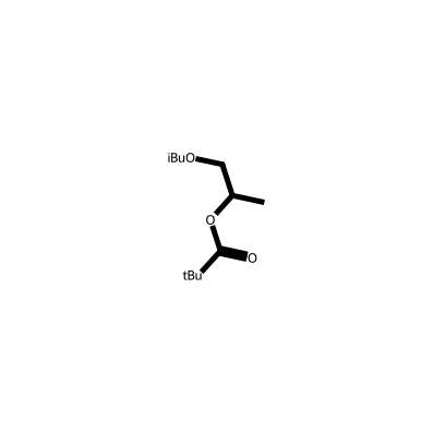 CC(C)COCC(C)OC(=O)C(C)(C)C